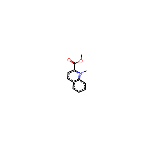 COC(=O)c1ccc2ccccc2[n+]1C